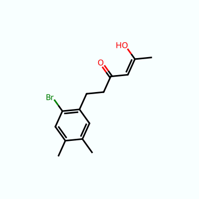 C/C(O)=C/C(=O)CCc1cc(C)c(C)cc1Br